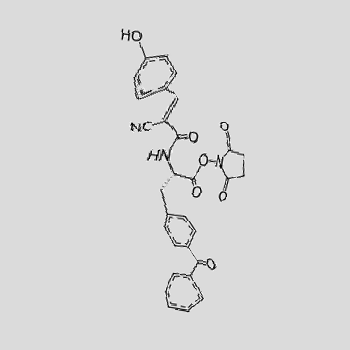 N#C/C(=C\c1ccc(O)cc1)C(=O)N[C@@H](Cc1ccc(C(=O)c2ccccc2)cc1)C(=O)ON1C(=O)CCC1=O